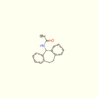 CC(C)(C)C(=O)NC1c2ccccc2CCc2ccccc21